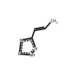 C/C=C/c1nn[nH]n1